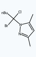 CCCCC(Cl)(Br)n1nc(C)cc1C